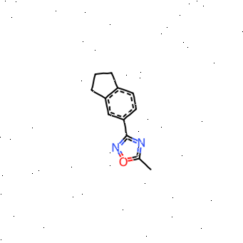 Cc1nc(-c2ccc3c(c2)CCC3)no1